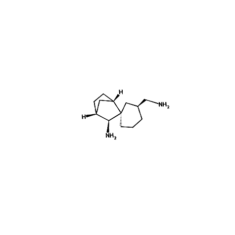 NC[C@H]1CCC[C@@]2(C1)[C@H]1CC[C@H](C1)[C@@H]2N